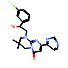 CC1(C)CN(CC(O)c2cccc(F)c2)c2nc(-c3ccncn3)cc(=O)n2C1